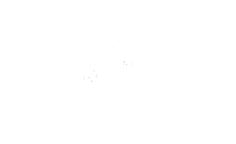 NS(=O)(=O)c1cc(C(=O)O)cc(NCCc2ccccc2)c1Sc1ccccc1